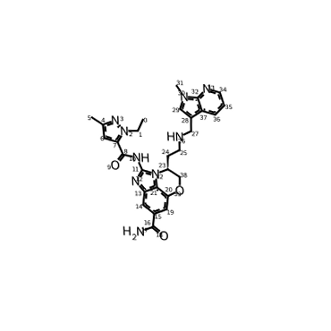 CCn1nc(C)cc1C(=O)Nc1nc2cc(C(N)=O)cc3c2n1[C@@H](CCNCc1cn(C)c2ncccc12)CO3